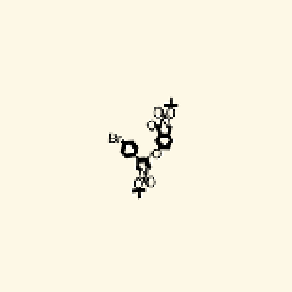 CC(C)(C)OC(=O)N1C[C@@H](COc2ccc3c(c2)C(=O)N(C(=O)OC(C)(C)C)C3)[C@H](c2ccc(Br)cc2)C1